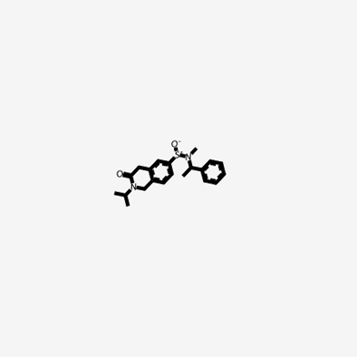 CC(C)N1Cc2ccc([S+]([O-])N(C)C(C)c3ccccc3)cc2CC1=O